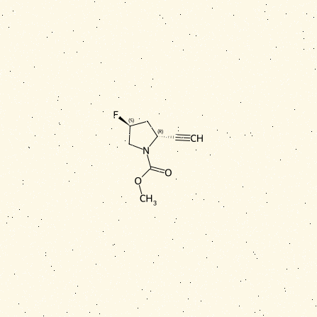 C#C[C@H]1C[C@H](F)CN1C(=O)OC